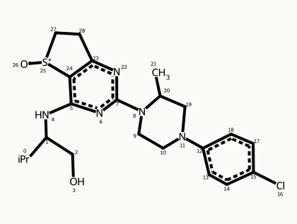 CC(C)C(CO)Nc1nc(N2CCN(c3ccc(Cl)cc3)CC2C)nc2c1[S+]([O-])CC2